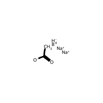 CC(=O)[O-].[BH4-].[Na+].[Na+]